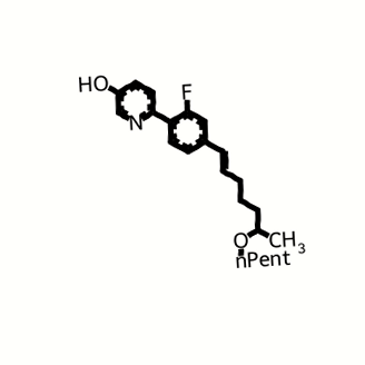 CCCCCOC(C)CCCC=Cc1ccc(-c2ccc(O)cn2)c(F)c1